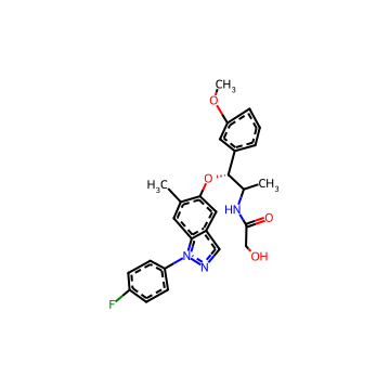 COc1cccc([C@@H](Oc2cc3cnn(-c4ccc(F)cc4)c3cc2C)C(C)NC(=O)CO)c1